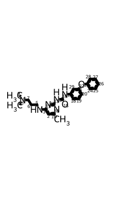 Cc1cc(NCCCN(C)C)nc(NC(=O)Nc2cccc(Oc3ccccc3)c2)n1